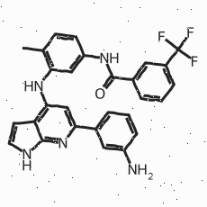 Cc1ccc(NC(=O)c2cccc(C(F)(F)F)c2)cc1Nc1cc(-c2cccc(N)c2)nc2[nH]ccc12